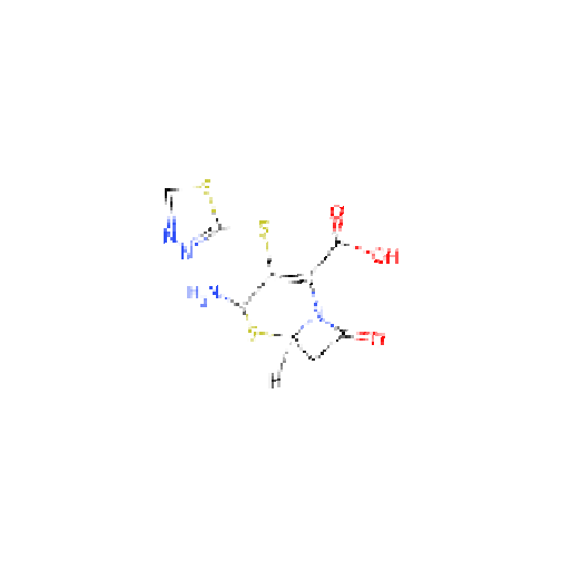 NC1S[C@@H]2CC(=O)N2C(C(=O)O)=C1Sc1nncs1